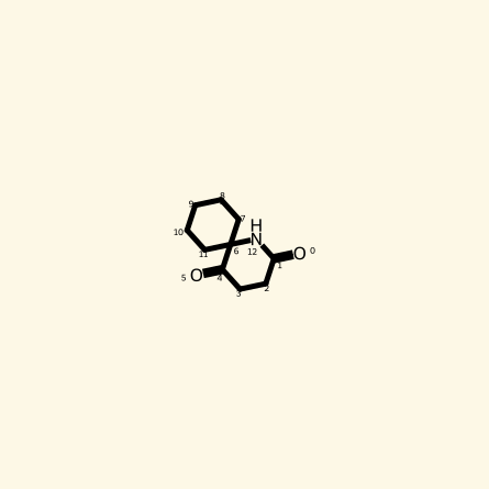 O=C1CCC(=O)C2(C[CH]CCC2)N1